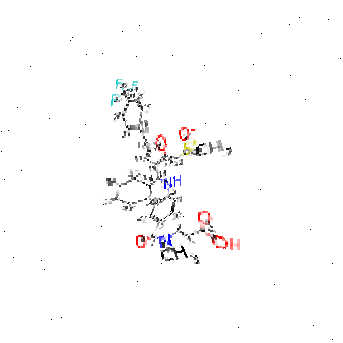 CN(CCC(=O)O)C(=O)c1ccc(NC(c2cc(-c3ccc(C(F)(F)F)cc3)oc2C[S+](C)[O-])C2CCCCC2)cc1